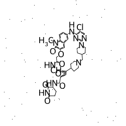 CNC(=O)COc1cc2cc(Nc3nc(N4CCC(CN5CCC(c6coc(C(=O)NC7CCC(=O)NC7=O)c6)CC5)CC4)ncc3Cl)ccc2n(C)c1=O